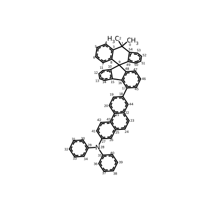 CC1(C)c2ccccc2C2(c3ccccc3-c3c(-c4ccc5c(ccc6cc(N(c7ccccc7)c7ccccc7)ccc65)c4)cccc32)c2ccccc21